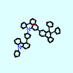 c1ccc(-c2ccccc2N(c2ccc(-c3cccc4c3c3ccccc3n4-c3ccccc3)cc2)c2cccc(-c3ccc4c(c3)c(-c3ccccc3)c(-c3ccccc3)c3ccccc34)c2)cc1